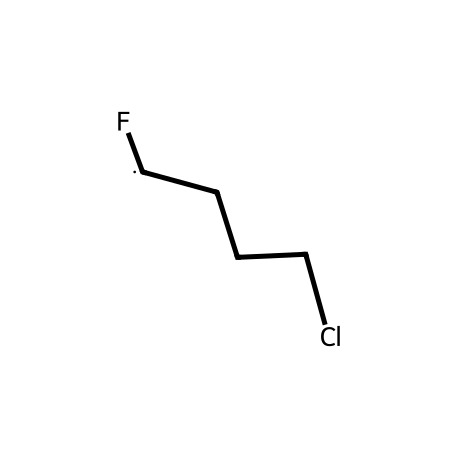 F[CH]CCCCl